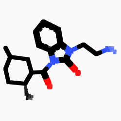 CC1CC[C@@H](C(C)C)C(C(=O)n2c(=O)n(CCN)c3ccccc32)C1